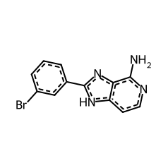 Nc1nccc2[nH]c(-c3cccc(Br)c3)nc12